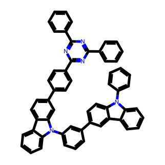 c1ccc(-c2nc(-c3ccccc3)nc(-c3ccc(-c4ccc5c6ccccc6n(-c6cccc(-c7ccc8c(c7)c7ccccc7n8-c7ccccc7)c6)c5c4)cc3)n2)cc1